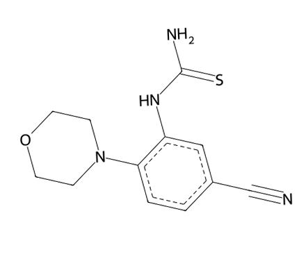 N#Cc1ccc(N2CCOCC2)c(NC(N)=S)c1